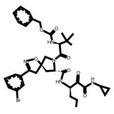 CCC[C@@H](NC(=O)[C@@H]1C[C@]2(CC(c3cccc(Br)c3)=NO2)CN1C(=O)[C@@H](NC(=O)OCc1ccccc1)C(C)(C)C)C(=O)C(=O)NC1CC1